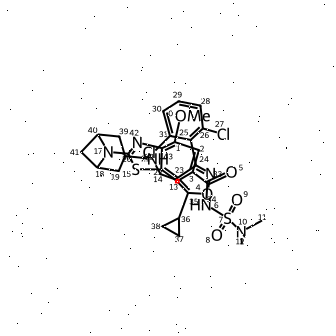 COc1cc(C(=O)NS(=O)(=O)N(C)C)cc2sc(N3C4CC(NCc5c(-c6c(Cl)cccc6Cl)noc5C5CC5)CC3C4)nc12